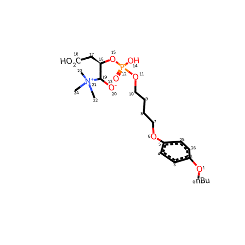 CCCCOc1ccc(OCCCCOP(=O)(O)O[C@H](CC(=O)O)C([O-])[N+](C)(C)C)cc1